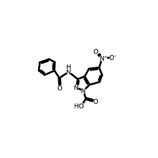 O=C(Nc1nn(C(=O)O)c2ccc([N+](=O)[O-])cc12)c1ccccc1